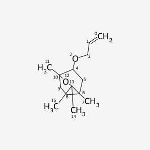 C=CCOC1CC2(C)CCC1(C)OC2(C)C